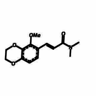 COc1c(C=CC(=O)N(C)C)ccc2c1OCCO2